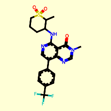 CC1C(Nc2ncc(-c3ccc(C(F)(F)F)cc3)c3ncn(C)c(=O)c23)CCCS1(=O)=O